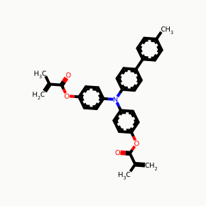 C=C(C)C(=O)Oc1ccc(N(c2ccc(OC(=O)C(=C)C)cc2)c2ccc(-c3ccc(C)cc3)cc2)cc1